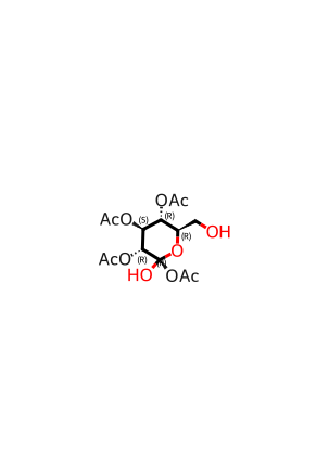 CC(=O)O[C@H]1[C@H](OC(C)=O)[C@@H](CO)O[C@@](O)(OC(C)=O)[C@@H]1OC(C)=O